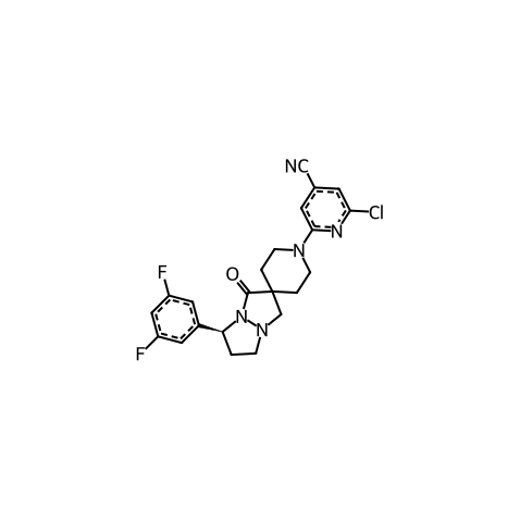 N#Cc1cc(Cl)nc(N2CCC3(CC2)CN2CC[C@@H](c4cc(F)cc(F)c4)N2C3=O)c1